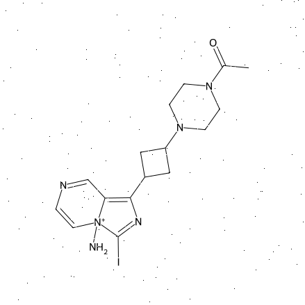 CC(=O)N1CCN(C2CC(C3=C4C=NC=C[N+]4(N)C(I)=N3)C2)CC1